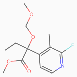 CCC(OCOC)(C(=O)OC)c1ccnc(F)c1C